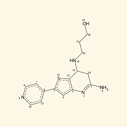 NC1=Nc2cc(-c3ccncc3)sc2C(NCCCO)C1